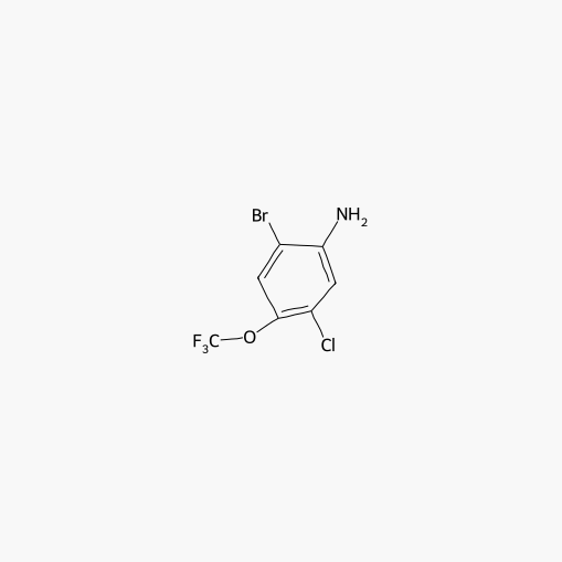 Nc1cc(Cl)c(OC(F)(F)F)cc1Br